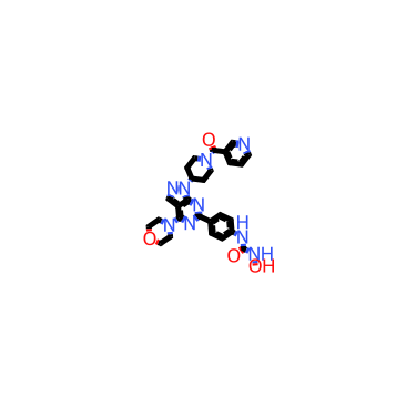 O=C(NO)Nc1ccc(-c2nc(N3CCOCC3)c3cnn(C4CCN(C(=O)c5cccnc5)CC4)c3n2)cc1